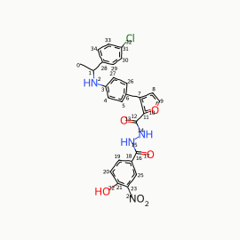 CC(Nc1ccc(-c2ccoc2C(=O)NNC(=O)c2ccc(O)c([N+](=O)[O-])c2)cc1)c1ccc(Cl)cc1